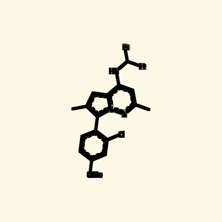 CCC(CC)Nc1cc(C)nn2c(-c3ccc(OC)cc3Cl)c(C)cc12